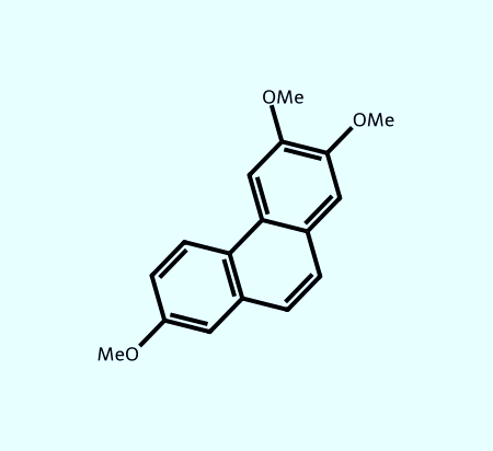 COc1ccc2c(ccc3cc(OC)c(OC)cc32)c1